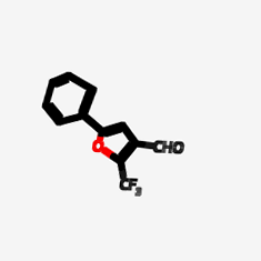 O=Cc1cc(-c2ccccc2)oc1C(F)(F)F